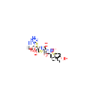 CCC(C(=O)NC1C(=O)N2CC(C(=O)O)(C(C)Sc3nnn[nH]3)CS[C@H]12)[S+]([O-])c1ccc(O)cc1